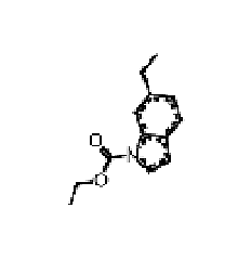 CCOC(=O)n1ccc2ccc(CC)cc21